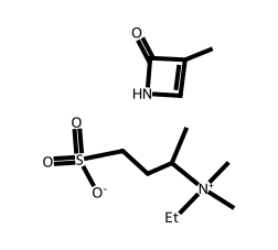 CC1=CNC1=O.CC[N+](C)(C)C(C)CCS(=O)(=O)[O-]